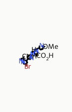 COc1ccc(CN2CC(C)(C(=O)O)[C@H]3[C@@H]2CN3c2ccc(-c3cc(Br)cn4ncc(C#N)c34)cn2)cn1